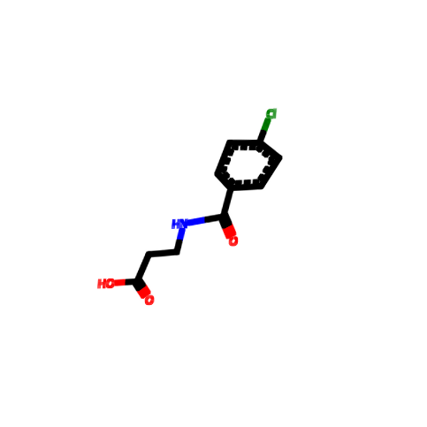 O=C(O)CCNC(=O)c1ccc(Cl)cc1